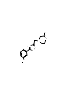 COc1cccc(-c2nc(CN3CCNC(C)C3)no2)c1